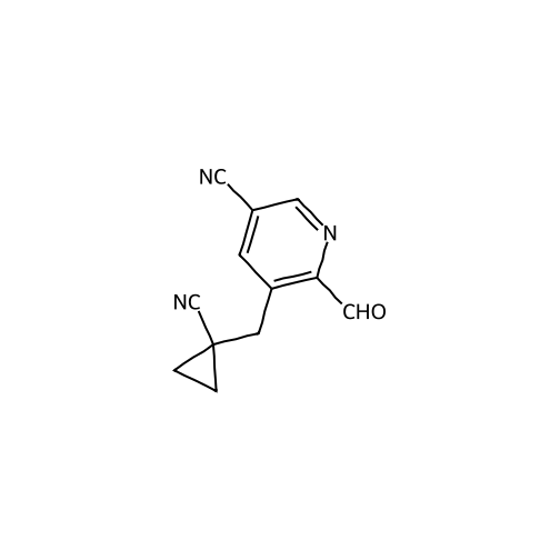 N#Cc1cnc(C=O)c(CC2(C#N)CC2)c1